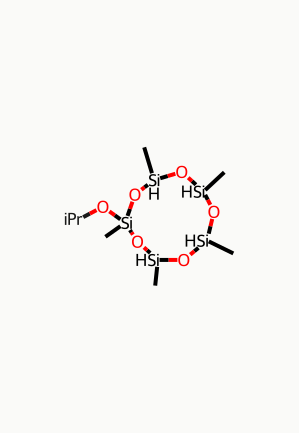 CC(C)O[Si]1(C)O[SiH](C)O[SiH](C)O[SiH](C)O[SiH](C)O1